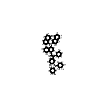 c1ccc(-c2c(-c3ccc(N(c4ccc5ccccc5c4)c4cccc5ccccc45)c4ccccc34)sc3ccc(N(c4ccccc4)c4ccccc4)cc23)cc1